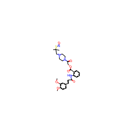 COc1ccc(C=CC(=O)Nc2ccccc2C(=O)OCC(=O)N2CCN(CC(C)(C)SN=O)CC2)cc1OC